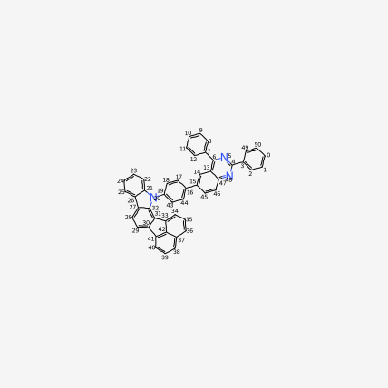 c1ccc(-c2nc(-c3ccccc3)c3cc(-c4ccc(-n5c6ccccc6c6ccc7c(c65)-c5cccc6cccc-7c56)cc4)ccc3n2)cc1